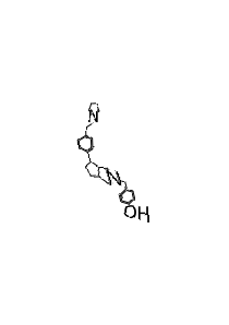 Oc1ccc(CN2CC3CCC(c4ccc(CCN5CCCC5)cc4)C3C2)cc1